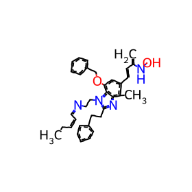 C=C(/C=C/c1cc(OCc2ccccc2)c2c(nc(CCc3ccccc3)n2CC/N=C\C=C/CC)c1C)NO